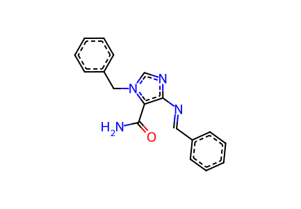 NC(=O)c1c(N=Cc2ccccc2)ncn1Cc1ccccc1